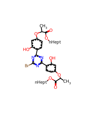 CCCCCCCOC(=O)C(C)Oc1ccc(-c2nc(Br)nc(-c3ccc(OC(C)C(=O)OCCCCCCC)cc3O)n2)c(O)c1